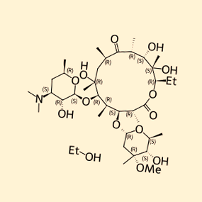 CCO.CC[C@H]1OC(=O)[C@H](C)[C@@H](O[C@H]2C[C@@](C)(OC)[C@@H](O)[C@H](C)O2)[C@@H](C)[C@@H](O[C@@H]2O[C@H](C)C[C@H](N(C)C)[C@H]2O)[C@](C)(O)C[C@@H](C)C(=O)[C@H](C)[C@H](O)[C@]1(C)O